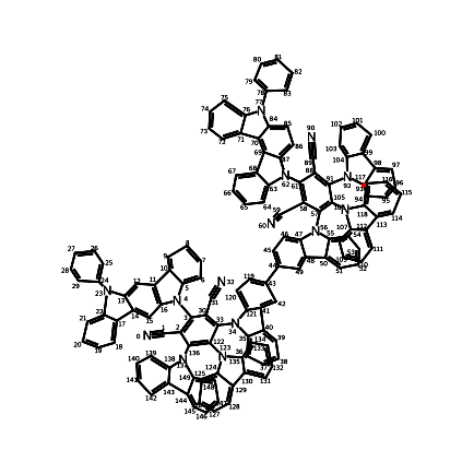 N#Cc1c(-n2c3ccccc3c3cc4c(cc32)c2ccccc2n4-c2ccccc2)c(C#N)c(-n2c3ccccc3c3cc(-c4ccc5c(c4)c4ccccc4n5-c4c(C#N)c(-n5c6ccccc6c6c7c8ccccc8n(-c8ccccc8)c7ccc65)c(C#N)c(-n5c6ccccc6c6ccccc65)c4-n4c5ccccc5c5ccccc54)ccc32)c(-n2c3ccccc3c3ccccc32)c1-n1c2ccccc2c2ccccc21